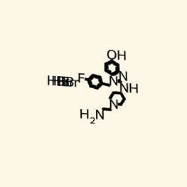 Br.Br.Br.NCCN1CCC(Nc2nc3cc(O)ccc3n2Cc2ccc(F)cc2)CC1